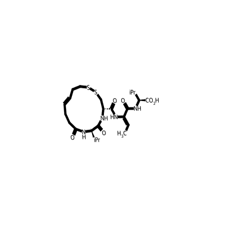 C/C=C(\NC(=O)[C@H]1CSSCC/C=C/CCC(=O)N[C@H](C(C)C)C(=O)N1)C(=O)N[C@H](C(=O)O)C(C)C